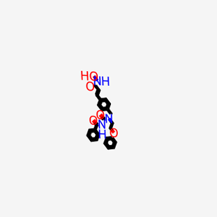 O=C(C=Cc1ccc(CN(CCOc2ccccc2)C(=O)NC(=O)c2ccccc2)cc1)NO